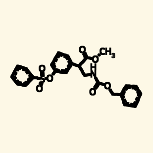 COC(=O)C(CNC(=O)OCc1ccccc1)c1cccc(OS(=O)(=O)c2ccccc2)c1